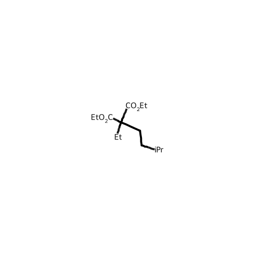 CCOC(=O)C(CC)(CCC(C)C)C(=O)OCC